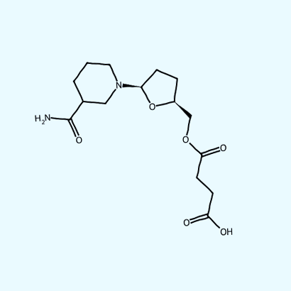 NC(=O)C1CCCN([C@H]2CC[C@@H](COC(=O)CCC(=O)O)O2)C1